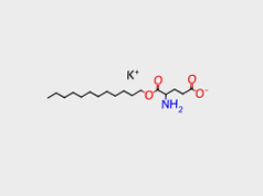 CCCCCCCCCCCCOC(=O)C(N)CCC(=O)[O-].[K+]